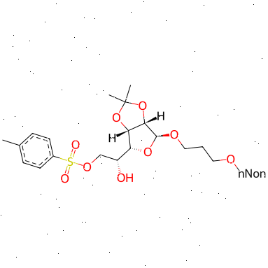 CCCCCCCCCOCCCO[C@H]1O[C@H]([C@H](O)COS(=O)(=O)c2ccc(C)cc2)[C@@H]2OC(C)(C)O[C@H]12